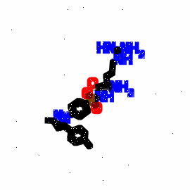 Cc1ccc(-c2cc(C)nn2-c2ccc(S(=O)(=O)NC(=O)[C@@H](N)CCCNC(=N)N)cc2)cc1